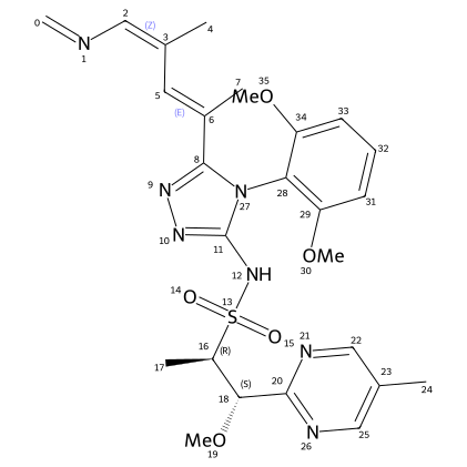 C=N/C=C(C)\C=C(/C)c1nnc(NS(=O)(=O)[C@H](C)[C@@H](OC)c2ncc(C)cn2)n1-c1c(OC)cccc1OC